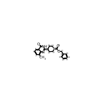 Cc1cccc2c(=O)[nH]c(C3CCN(C(=O)OCc4ccccc4)CC3)nc12